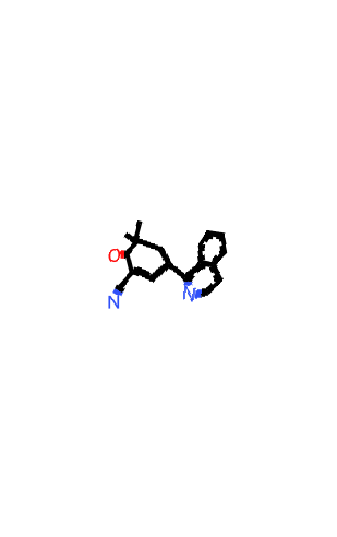 CC1(C)CC(c2nccc3ccccc23)C=C(C#N)C1=O